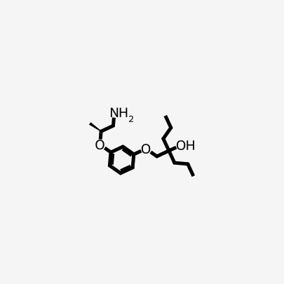 CCCC(O)(CCC)COc1cccc(O[C@@H](C)CN)c1